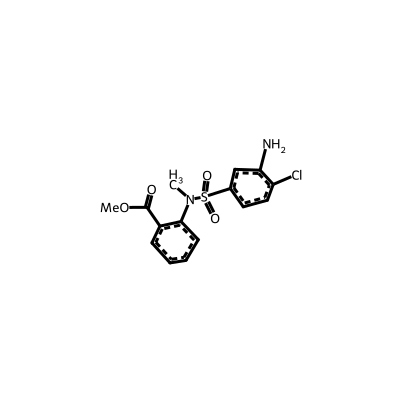 COC(=O)c1ccccc1N(C)S(=O)(=O)c1ccc(Cl)c(N)c1